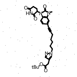 Cn1c(=O)n(C2CCC(=O)NC2=O)c2ccc(C#CCCCCCn3cc(CC(=O)OC(C)(C)C)cn3)cc21